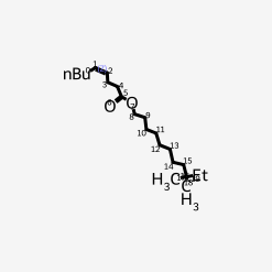 CCCC/C=C\CCC(=O)OCCCCCCCCC(C)(C)CC